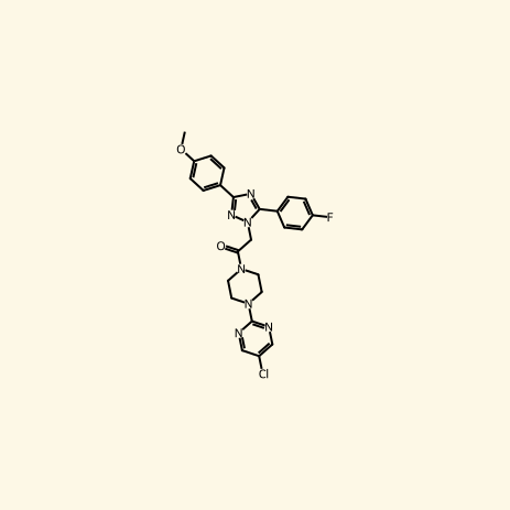 COc1ccc(-c2nc(-c3ccc(F)cc3)n(CC(=O)N3CCN(c4ncc(Cl)cn4)CC3)n2)cc1